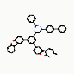 C=C/C=C\c1c(C)oc2ccc(-c3cc(C4=CC(c5ccc(-c6ccccc6)cc5)NC(c5ccccc5)=N4)cc(-c4ccc5oc6ccccc6c5c4)c3)cc12